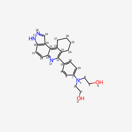 OCCN(CCO)c1ccc(-c2nc3ccc4[nH]ncc4c3c3c2CCCC3)cc1